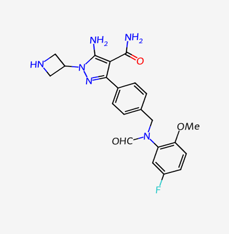 COc1ccc(F)cc1N(C=O)Cc1ccc(-c2nn(C3CNC3)c(N)c2C(N)=O)cc1